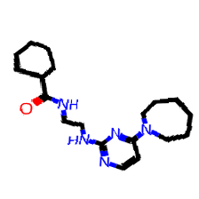 O=C(NCCNc1nccc(N2CCCCCC2)n1)C1CCCCC1